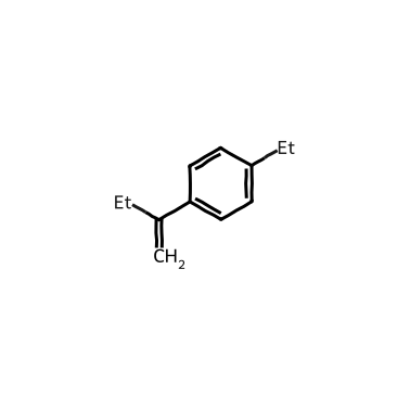 C=C(CC)c1ccc(CC)cc1